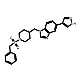 O=S(=O)(Cc1ccccc1)N1CCC(Cn2cnc3cc(-c4cn[nH]c4)ccc32)CC1